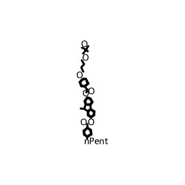 CCCCCc1ccc(C(=O)Oc2ccc3c(c2)C(C)c2cc(OC(=O)c4ccc(OCCCCOCC5(C)COC5)cc4)ccc2-3)cc1